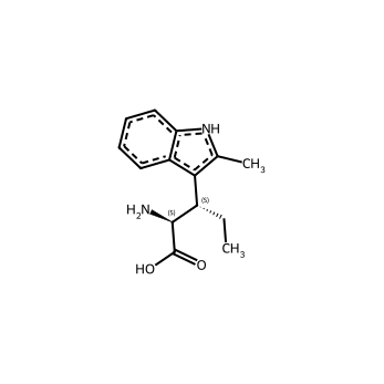 CC[C@@H](c1c(C)[nH]c2ccccc12)[C@H](N)C(=O)O